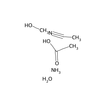 CC#N.CC(=O)O.CO.N.O